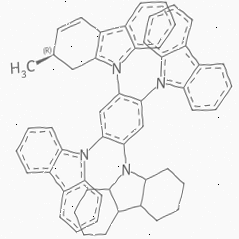 C[C@H]1C=Cc2c(n(-c3cc(-n4c5ccccc5c5ccccc54)c(N4C5CCCCC5C5CCCCC54)cc3-n3c4ccccc4c4ccccc43)c3ccccc23)C1